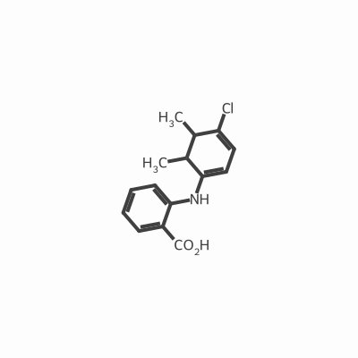 CC1C(Cl)=CC=C(Nc2ccccc2C(=O)O)C1C